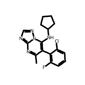 Cc1nc2ncnn2c(NC2CCCC2)c1-c1c(F)cccc1Cl